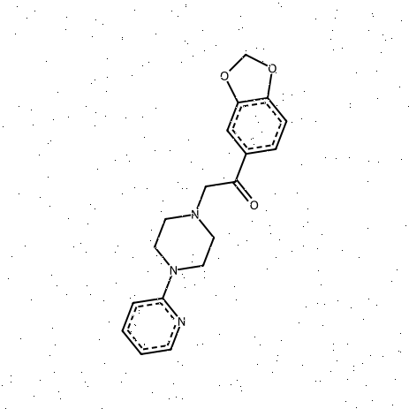 O=C(CN1CCN(c2ccccn2)CC1)c1ccc2c(c1)OCO2